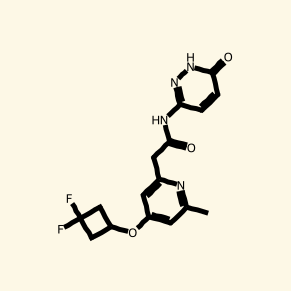 Cc1cc(OC2CC(F)(F)C2)cc(CC(=O)Nc2ccc(=O)[nH]n2)n1